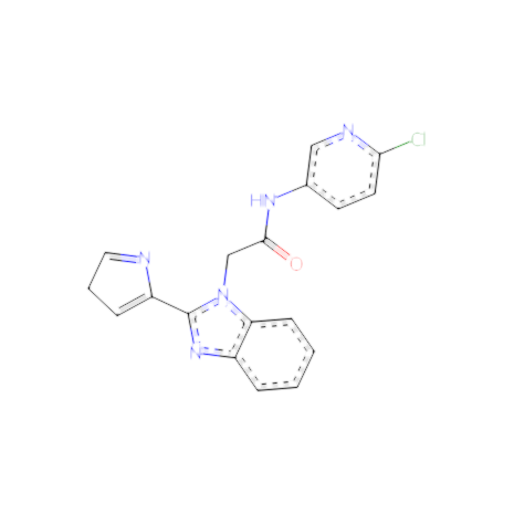 O=C(Cn1c(C2=CCC=N2)nc2ccccc21)Nc1ccc(Cl)nc1